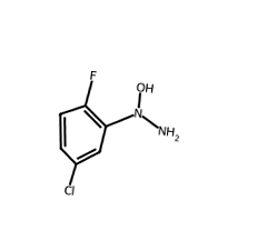 NN(O)c1cc(Cl)ccc1F